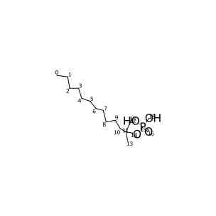 CCCCCCCCCCCC(C)(C)OP(=O)(O)O